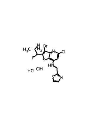 C[C@H](N)C(F)c1sc2c(NCc3nccs3)cc(Cl)nc2c1Br.Cl.Cl